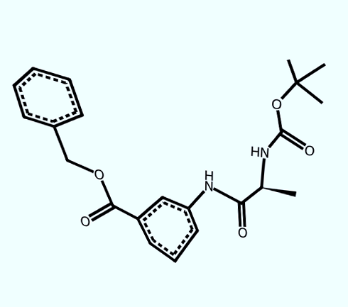 C[C@H](NC(=O)OC(C)(C)C)C(=O)Nc1cccc(C(=O)OCc2ccccc2)c1